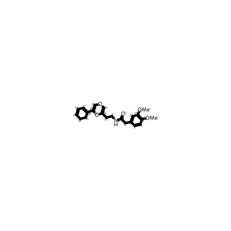 COc1ccc(CC(=O)NCCC2=COC=C(C3=CC=CCC3)O2)cc1OC